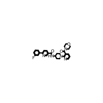 O=C(NC1CCN(c2ncccc2C(=O)N2CCOCC2)CC1)c1ccc(-c2cccc(F)c2)nc1